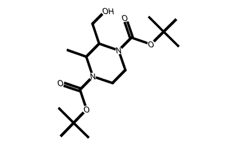 CC1C(CO)N(C(=O)OC(C)(C)C)CCN1C(=O)OC(C)(C)C